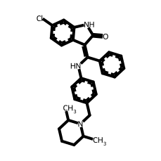 CC1CCCC(C)N1Cc1ccc(NC(=C2C(=O)Nc3cc(Cl)ccc32)c2ccccc2)cc1